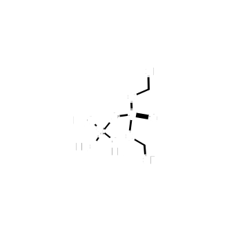 C[Si](C)(C)OP(=O)(OCC(F)(F)F)OCC(F)(F)F